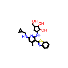 Cc1cc(NCC2CC2)nc(NC2CC(CO)[C@@H](O)[C@H]2O)c1-c1nc2ccccc2s1